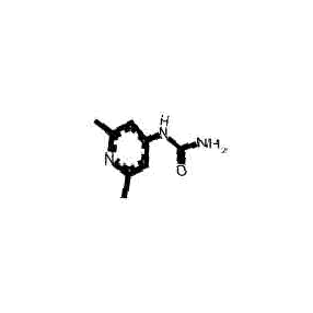 Cc1cc(NC(N)=O)cc(C)n1